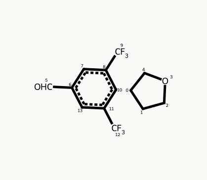 C1CCOC1.O=Cc1cc(C(F)(F)F)cc(C(F)(F)F)c1